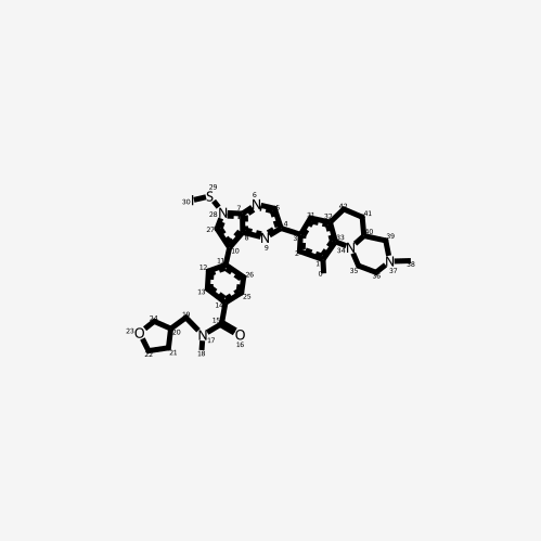 Cc1cc(-c2cnc3c(n2)c(-c2ccc(C(=O)N(C)CC4CCOC4)cc2)cn3SI)cc2c1N1CCN(C)CC1CC2